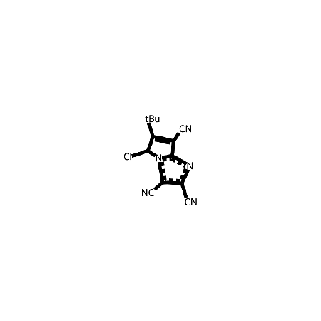 CC(C)(C)C1=C(C#N)c2nc(C#N)c(C#N)n2C1Cl